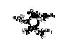 CCc1nc(C)oc1C(=O)Nc1nc2cc(C(N)=O)cc3c2n1CCCCn1c(NC(=O)c2oc(C)nc2CC)nc2cc(C(N)=O)cc(c21)OCC1(CO3)CN(C(=O)OC(C)(C)C)C1